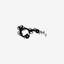 COc1cc2cc(c1OC)OCCCC(OC(=O)CCOc1ccc(P)cc1)CCN1CCCN(CCCOC2=O)CC1